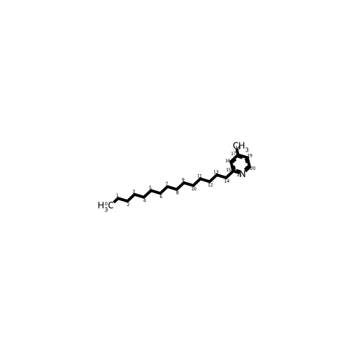 CCCCCCCCCCCCCCCc1cc(C)ccn1